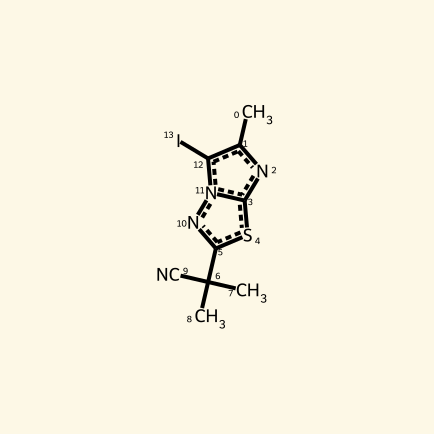 Cc1nc2sc(C(C)(C)C#N)nn2c1I